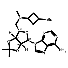 CCCCC1CC(N(C)C[C@H]2O[C@@H](n3cnc4c(N)ncnc43)[C@@H]3OC(C)(C)O[C@@H]32)C1